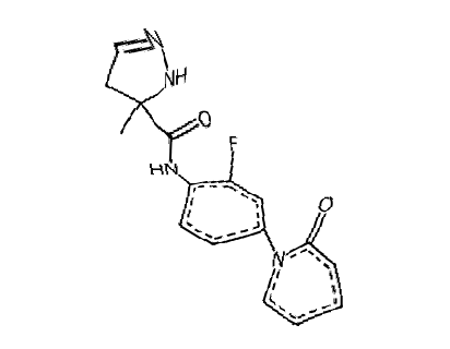 CC1(C(=O)Nc2ccc(-n3ccccc3=O)cc2F)CC=NN1